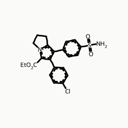 CCOC(=O)c1c(-c2ccc(Cl)cc2)c(-c2ccc(S(N)(=O)=O)cc2)c2n1CCC2